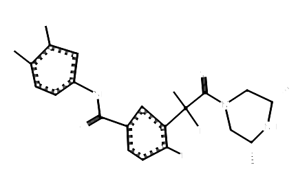 Cc1cc(NC(=O)c2ccc(F)c(C(F)(F)C(=O)N3C[C@@H](C)N[C@@H](C)C3)c2)ccc1F